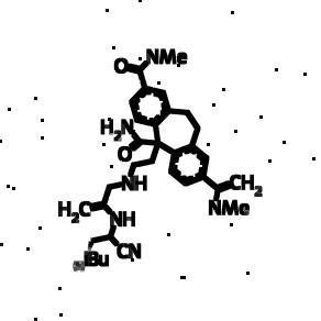 C=C(CNCCC1(C(N)=O)c2ccc(C(=C)NC)cc2CCc2cc(C(=O)NC)ccc21)NC(C#N)C[C@@H](C)CC